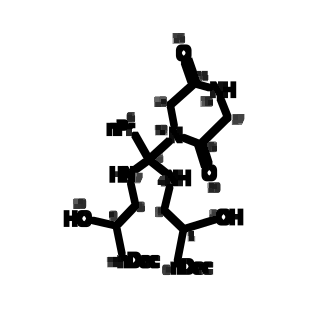 CCCCCCCCCCC(O)CNC(CCC)(NCC(O)CCCCCCCCCC)N1CC(=O)NCC1=O